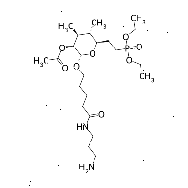 CCOP(=O)(CC[C@H]1O[C@H](OCCCCC(=O)NCCCN)[C@@H](OC(C)=O)[C@@H](C)[C@@H]1C)OCC